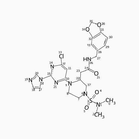 CN(C)S(=O)(=O)N1CCN(c2cc(Cl)nc(-n3ccnc3)n2)C(CC(=O)NCc2ccc3c(c2)OCO3)C1